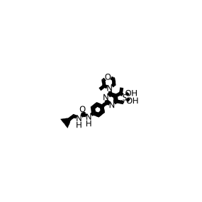 CC1COCCN1c1nc(-c2ccc(NC(=O)NCC3CC3)cc2)nc2c1C(C)S(O)(O)C2